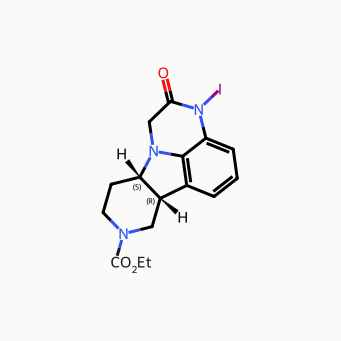 CCOC(=O)N1CC[C@H]2[C@@H](C1)c1cccc3c1N2CC(=O)N3I